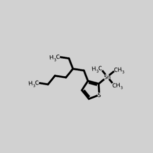 CCCCC(CC)Cc1ccs[c]1[Sn]([CH3])([CH3])[CH3]